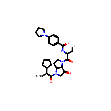 CC(=O)NC(C(=O)N1CC(=O)C2C1CCN2C(=O)C(CC(C)C)NC(=O)c1ccc(N2CCCC2)cc1)C1CCCC1